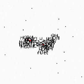 CCCCCCCCCCCC(=O)N[C@H]1C(CO)O[C@@H](OC(=O)[C@]23CCC(C)(C)CC2C2=CCC4C5(C)CC[C@H](O[C@@H]6OC(C(=O)O)[C@@H](O)C(O[C@@H]7OC[C@@H](O)C(O)[C@@H]7O)[C@@H]6O[C@@H]6OC(CO)[C@H](O)C(O)[C@@H]6O)[C@](C)(C=O)C5CC[C@@]4(C)[C@]2(C)C[C@H]3O)C(O[C@@H]2OC(C)[C@H](O[C@@H](C)OC[C@@H](O)[C@@H](O)CO)[C@@H](O)C2O)[C@@H]1O